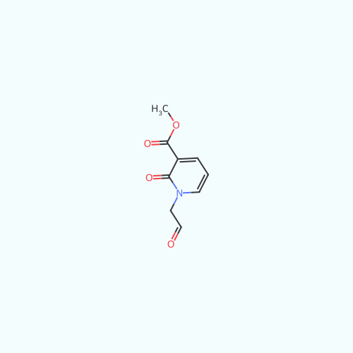 COC(=O)c1cccn(CC=O)c1=O